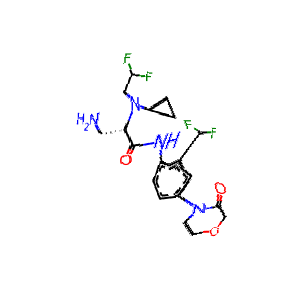 NC[C@@H](C(=O)Nc1ccc(N2CCOCC2=O)cc1C(F)F)N(CC(F)F)C1CC1